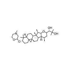 C[C@@H]1CC([C@H](O)C(C)(C)O)OC2[C@H]1[C@@]1(C)CC[C@@]34CC35CC[C@H](OC3CN(C)CCO3)C(C)(C)[C@@H]5CCC4[C@]1(C)[C@H]2C